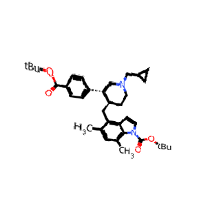 Cc1cc(C)c2c(ccn2C(=O)OC(C)(C)C)c1C[C@@H]1CCN(CC2CC2)C[C@H]1c1ccc(C(=O)OC(C)(C)C)cc1